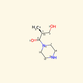 C[C@@H](CO)C(=O)N1CCNCC1